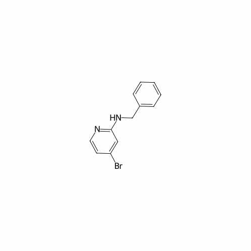 Brc1ccnc(NCc2ccccc2)c1